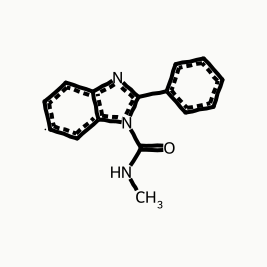 CNC(=O)n1c(-c2ccccc2)nc2cc[c]cc21